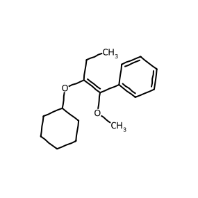 CCC(OC1CCCCC1)=C(OC)c1ccccc1